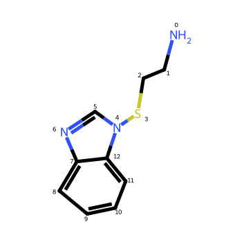 NCCSn1cnc2ccccc21